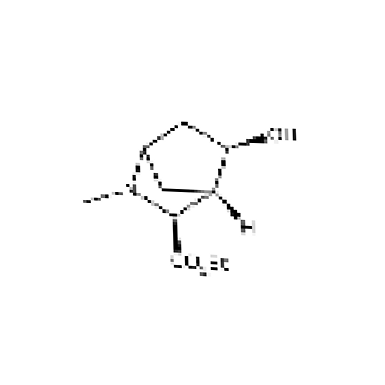 CCOC(=O)[C@@H]1[C@@H]2CC(C[C@H]2O)N1C